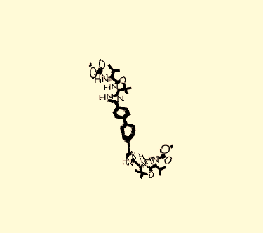 COC(=O)N[C@@H](C(=O)N[C@H](c1nc(-c2ccc(-c3ccc(-c4c[nH]c([C@@H](NC(=O)[C@H](NC(=O)OC)C(C)C)C(C)(C)C)n4)cc3)cc2)c[nH]1)C(C)(C)C)C(C)C